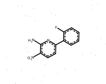 Nc1nc(-c2ccccc2F)ccc1[N+](=O)[O-]